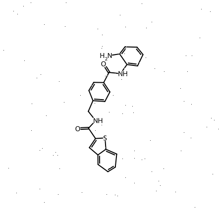 Nc1ccccc1NC(=O)c1ccc(CNC(=O)c2cc3ccccc3s2)cc1